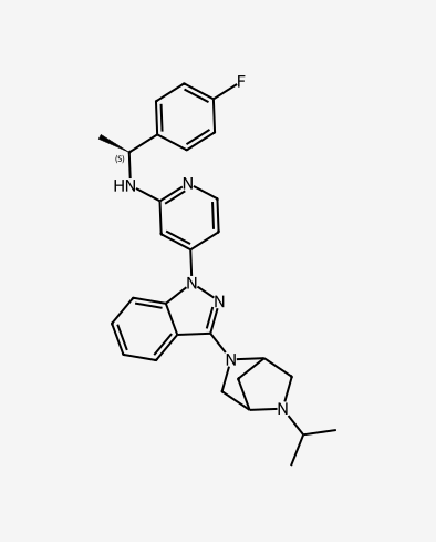 CC(C)N1CC2CC1CN2c1nn(-c2ccnc(N[C@@H](C)c3ccc(F)cc3)c2)c2ccccc12